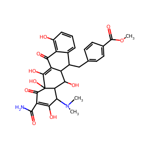 COC(=O)c1ccc(CC2c3cccc(O)c3C(=O)C3=C(O)C4(O)C(=O)C(C(N)=O)=C(O)C(N(C)C)C4C(O)C32)cc1